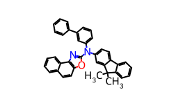 CC1(C)c2ccccc2-c2ccc(N(c3cccc(-c4ccccc4)c3)c3nc4c(ccc5ccccc54)o3)cc21